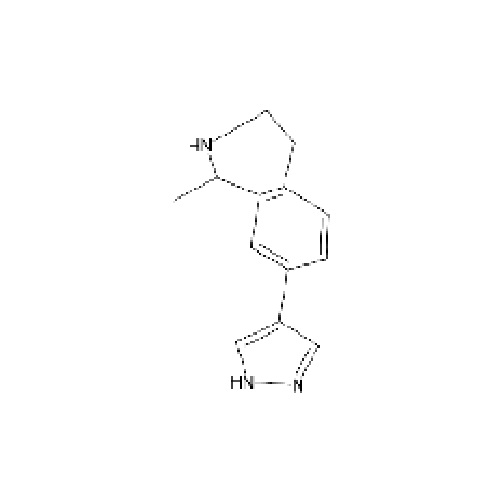 CC1NCCc2ccc(-c3cn[nH]c3)cc21